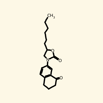 CCCCCCC1CN(c2ccc3c(c2)C(=O)CCC3)C(=O)O1